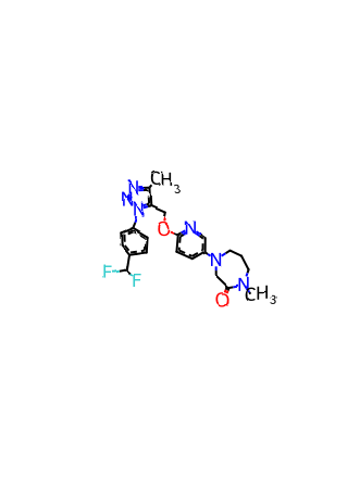 Cc1nnn(-c2ccc(C(F)F)cc2)c1COc1ccc(N2CCCN(C)C(=O)C2)cn1